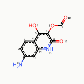 Nc1ccc2c(O)c(OC=O)c(=O)[nH]c2c1